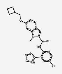 Cn1c(C(=O)Nc2ccc(Cl)cc2-c2nnn[nH]2)cc2ccc(OCC3CCC3)cc21